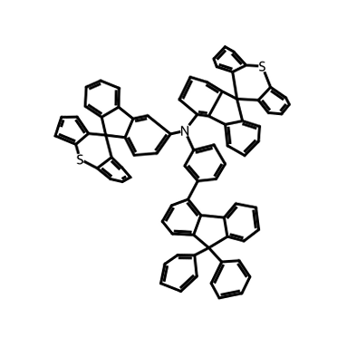 c1ccc(C2(c3ccccc3)c3ccccc3-c3c(-c4cccc(N(c5ccc6c(c5)-c5ccccc5C65c6ccccc6Sc6ccccc65)c5cccc6c5-c5ccccc5C65c6ccccc6Sc6ccccc65)c4)cccc32)cc1